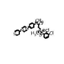 CN(C(=O)CCN(C)S(=O)(=O)c1cccc(Cl)c1Cl)c1ccc(N2CCN(c3ccncc3)CC2)cc1